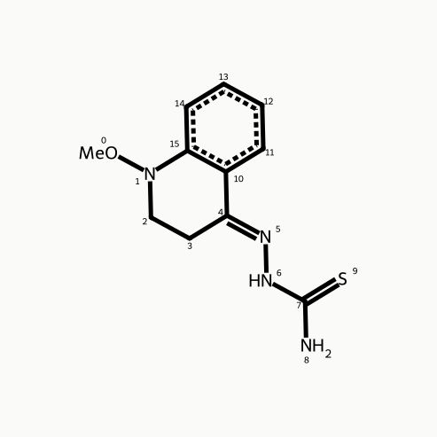 CON1CCC(=NNC(N)=S)c2ccccc21